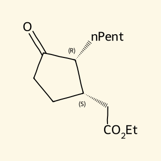 CCCCC[C@H]1C(=O)CC[C@H]1CC(=O)OCC